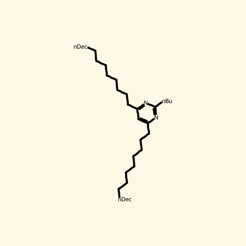 [CH2]CCCc1nc(CCCCCCCCCCCCCCCCCC)cc(CCCCCCCCCCCCCCCCCC)n1